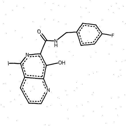 O=C(NCc1ccc(F)cc1)c1nc(I)c2cccnc2c1O